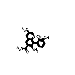 Cc1cnc2c(-c3cccc(O)c3C)c(N)c(C(N)=O)cc2c1